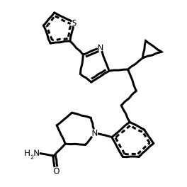 NC(=O)C1CCCN(c2ccccc2CCC(C2=CCC(c3cccs3)=N2)C2CC2)C1